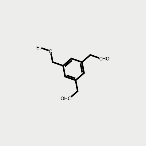 CCOCc1cc(CC=O)cc(CC=O)c1